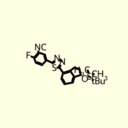 [C-]#[N+]c1cc(-c2nnc(-c3cccc4c3CC[C@@H]4O[Si](C)(C)C(C)(C)C)s2)ccc1F